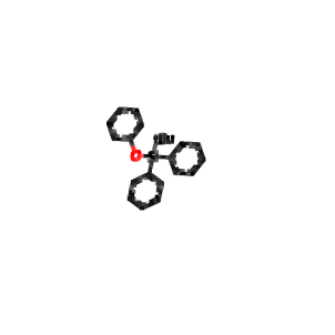 CC(C)(C)[Si](Oc1ccccc1)(c1ccccc1)c1ccccc1